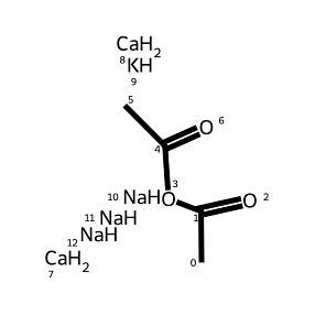 CC(=O)OC(C)=O.[CaH2].[CaH2].[KH].[NaH].[NaH].[NaH]